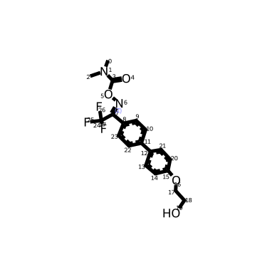 CN(C)C(=O)O/N=C(/c1ccc(-c2ccc(OCCO)cc2)cc1)C(F)(F)F